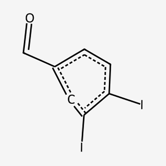 O=Cc1ccc(I)c(I)c1